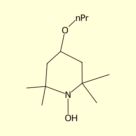 CCCOC1CC(C)(C)N(O)C(C)(C)C1